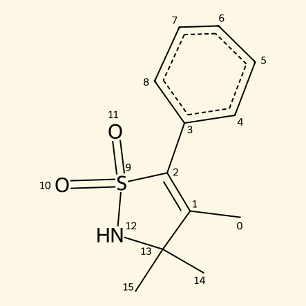 CC1=C(c2ccccc2)S(=O)(=O)NC1(C)C